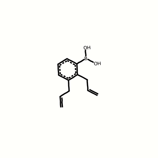 C=CCc1cccc(B(O)O)c1CC=C